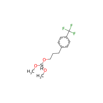 CO[SiH](OC)OCCCc1ccc(C(F)(F)F)cc1